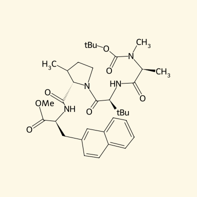 COC(=O)[C@H](Cc1ccc2ccccc2c1)NC(=O)[C@@H]1C(C)CCN1C(=O)[C@@H](NC(=O)[C@H](C)N(C)C(=O)OC(C)(C)C)C(C)(C)C